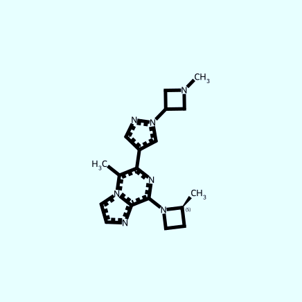 Cc1c(-c2cnn(C3CN(C)C3)c2)nc(N2CC[C@@H]2C)c2nccn12